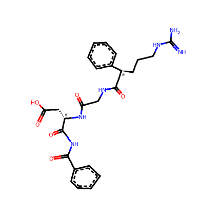 N=C(N)NCCC[C@@H](C(=O)NCC(=O)N[C@@H](CC(=O)O)C(=O)NC(=O)c1ccccc1)c1ccccc1